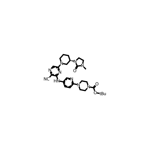 CN1CCN([C@@H]2CCCN(c3cnc(C#N)c(Nc4ccc(N5CCN(C(=O)OC(C)(C)C)CC5)nc4)n3)C2)C1=O